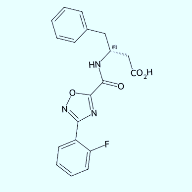 O=C(O)C[C@@H](Cc1ccccc1)NC(=O)c1nc(-c2ccccc2F)no1